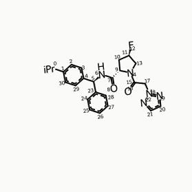 CC(C)c1ccc([C@@H](NC(=O)[C@@H]2C[C@@H](F)CN2C(=O)Cn2nccn2)c2ccccc2)cc1